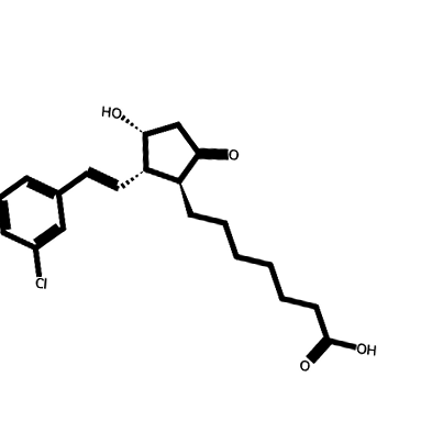 O=C(O)CCCCCC[C@@H]1C(=O)C[C@@H](O)[C@H]1C=Cc1cccc(Cl)c1